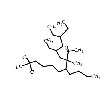 CCCCC(CCCCC(C)(Cl)Cl)C(C)(CC(CC)CC(CC)CC)C(C)=O